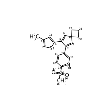 Cc1csc(C2=CC3(C=C2c2ccc(S(C)(=O)=O)nc2)CCC3)c1